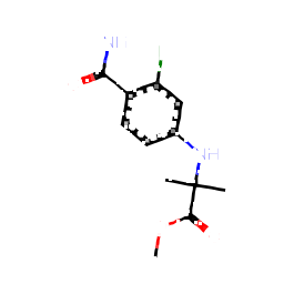 COC(=O)C(C)(C)Nc1ccc(C(N)=O)c(F)c1